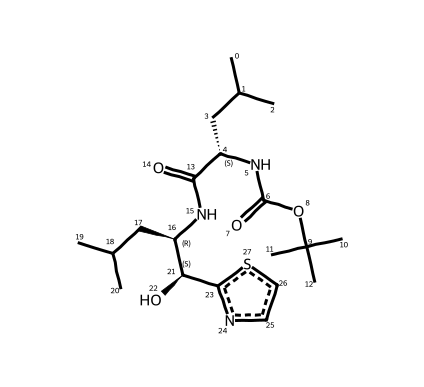 CC(C)C[C@H](NC(=O)OC(C)(C)C)C(=O)N[C@H](CC(C)C)[C@H](O)c1nccs1